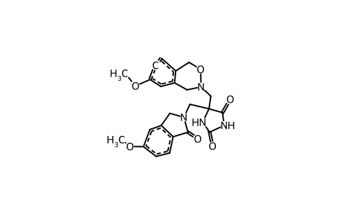 COc1ccc2c(c1)CN(CC1(CN3Cc4cc(OC)ccc4C3=O)NC(=O)NC1=O)OC2